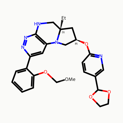 CC[C@]12CNc3nnc(-c4ccccc4OCOC)cc3N1C[C@H](Oc1ccc(C3OCCO3)cn1)C2